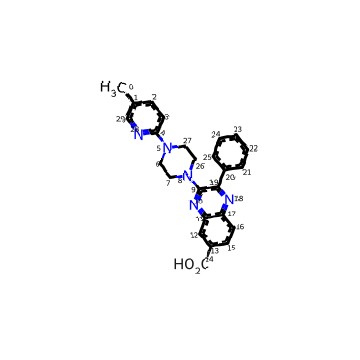 Cc1ccc(N2CCN(c3nc4cc(C(=O)O)ccc4nc3-c3ccccc3)CC2)nc1